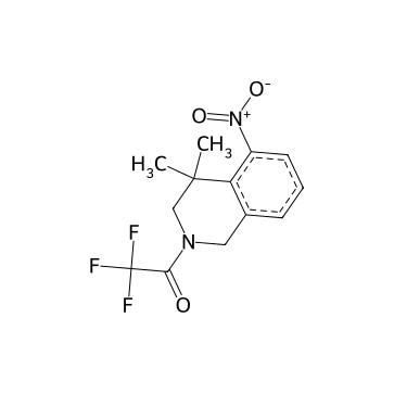 CC1(C)CN(C(=O)C(F)(F)F)Cc2cccc([N+](=O)[O-])c21